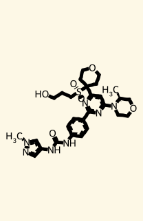 C[C@H]1COCCN1c1cc(C2(S(=O)(=O)CCCO)CCOCC2)nc(-c2ccc(NC(=O)Nc3cnn(C)c3)cc2)n1